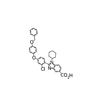 O=C(O)c1ccc2c(c1)nc(-c1ccc(Oc3ccc(OCc4ccccc4)cc3)cc1Cl)n2C1CCCCC1